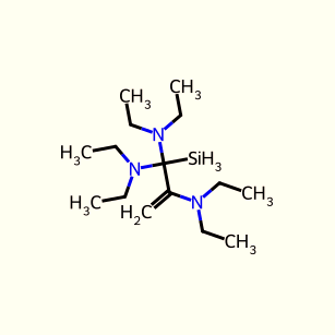 C=C(N(CC)CC)C([SiH3])(N(CC)CC)N(CC)CC